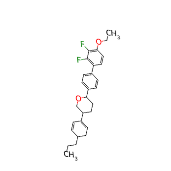 CCCC1C=CC(C2CCC(c3ccc(-c4ccc(OCC)c(F)c4F)cc3)OC2)=CC1